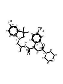 CC(CN1CC(C)(C)c2cc(F)ccc21)NC(=O)C(CC(=O)N1CCOCC1)c1ccc(C(F)(F)F)cc1